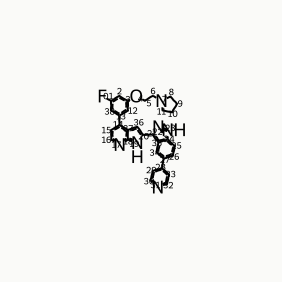 Fc1cc(OCCN2CCCC2)cc(-c2ccnc3[nH]c(-c4n[nH]c5ccc(-c6ccncc6)cc45)cc23)c1